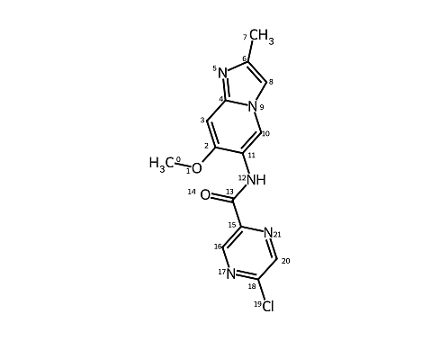 COc1cc2nc(C)cn2cc1NC(=O)c1cnc(Cl)cn1